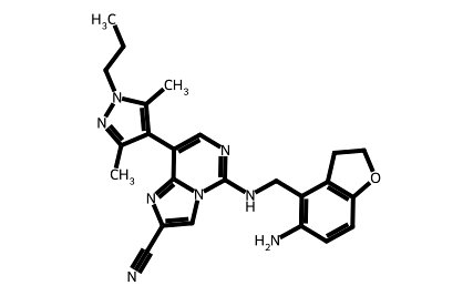 CCCn1nc(C)c(-c2cnc(NCc3c(N)ccc4c3CCO4)n3cc(C#N)nc23)c1C